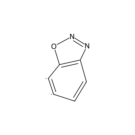 [c]1[c]c2onnc2cc1